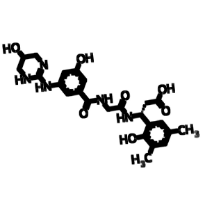 Cc1cc(C)c(O)c([C@@H](CC(=O)O)NC(=O)CNC(=O)c2cc(O)cc(NC3=NCC(O)CN3)c2)c1